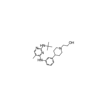 Cc1cnc(NC(C)(C)C)nc1Nc1cccc(C2CCN(CCO)CC2)c1